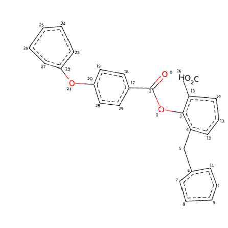 O=C(Oc1c(Cc2ccccc2)cccc1C(=O)O)c1ccc(Oc2ccccc2)cc1